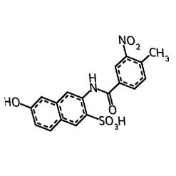 Cc1ccc(C(=O)Nc2cc3cc(O)ccc3cc2S(=O)(=O)O)cc1[N+](=O)[O-]